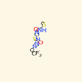 O=C(NCCc1cccs1)N1CCC(c2nc(C(=O)N3CCN(c4cccc(C(F)(F)F)c4)CC3)cs2)CC1